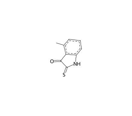 Cc1cccc2c1C(=O)C(=S)N2